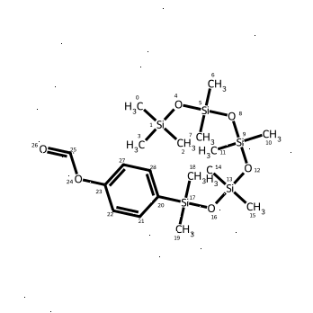 C[Si](C)(C)O[Si](C)(C)O[Si](C)(C)O[Si](C)(C)O[Si](C)(C)c1ccc(O[C]=O)cc1